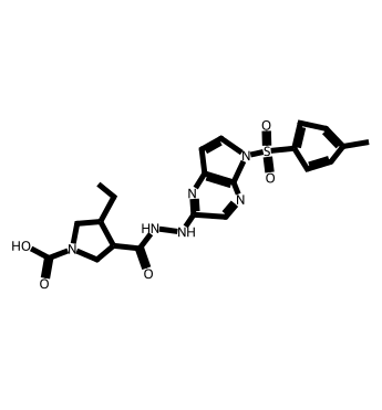 CCC1CN(C(=O)O)CC1C(=O)NNc1cnc2c(ccn2S(=O)(=O)c2ccc(C)cc2)n1